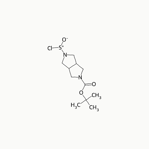 CC(C)(C)OC(=O)N1CC2CN([S+]([O-])Cl)CC2C1